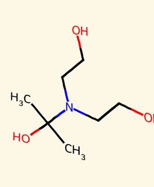 CC(C)(O)N(CCO)CCO